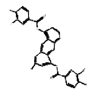 Cc1cc(OC(=O)c2ccc(F)c(F)c2)c2cc3cccc(OC(=O)c4ccc(F)c(F)c4)c3cc2c1